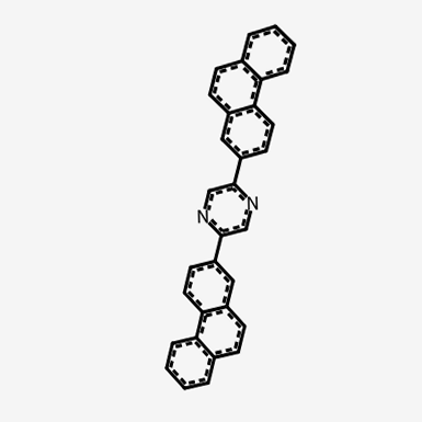 c1ccc2c(c1)ccc1cc(-c3cnc(-c4ccc5c(ccc6ccccc65)c4)cn3)ccc12